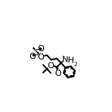 CC(C)(C)OC(=O)C(N)(CCCOS(C)(=O)=O)c1ccccc1